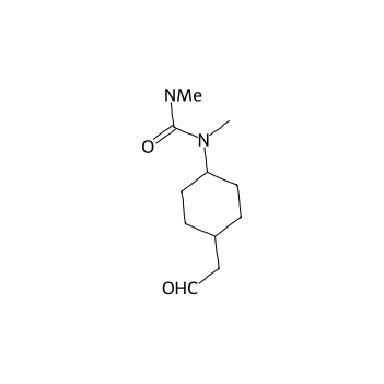 CNC(=O)N(C)C1CCC(CC=O)CC1